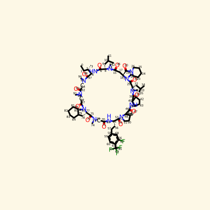 CC[C@H](C)[C@@H]1NC(=O)[C@H](CC(C)C)N(C)C(=O)C[C@@H](C(=O)N2CCCCC2)N(C)C(=O)[C@H](CC(C)C)N(C)C(=O)C2(CCCC2)NC(=O)[C@@H]2CCCN2C(=O)[C@H](CCc2ccc(C(F)(F)F)c(F)c2)NC(=O)CN(C)C(=O)[C@H](CC2CCCCC2)N(C)C(=O)CN(C)C(=O)CN(C)C1=O